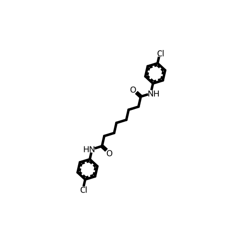 O=C(CCCCCCC(=O)Nc1ccc(Cl)cc1)Nc1ccc(Cl)cc1